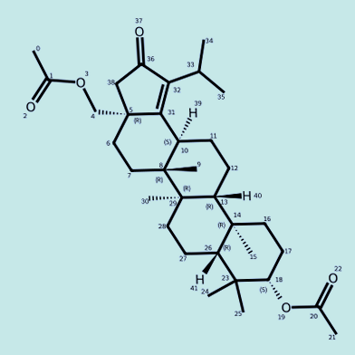 CC(=O)OC[C@@]12CC[C@]3(C)[C@H](CC[C@@H]4[C@@]5(C)CC[C@H](OC(C)=O)C(C)(C)[C@@H]5CC[C@]43C)C1=C(C(C)C)C(=O)C2